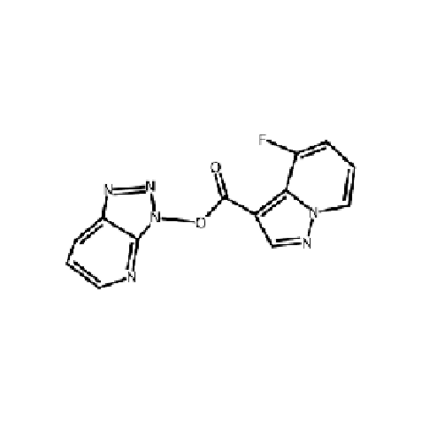 O=C(On1nnc2cccnc21)c1cnn2cccc(F)c12